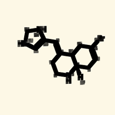 BrC1=CC[C@@H]2NCC/C(=C\C3=CNCN3)C2C1